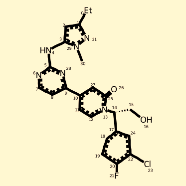 CCc1cc(Nc2nccc(-c3ccn([C@H](CO)c4ccc(F)c(Cl)c4)c(=O)c3)n2)n(C)n1